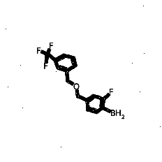 Bc1ccc(COCc2cccc(C(F)(F)F)c2)cc1F